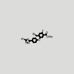 COC(=O)c1cc(Oc2ccc(-c3nnc(C(C)C)s3)cc2)c(CBr)cc1F